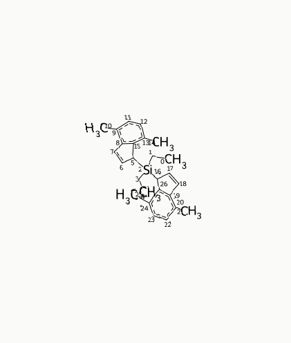 CC[Si](CC)(C1C=Cc2c(C)ccc(C)c21)C1C=Cc2c(C)ccc(C)c21